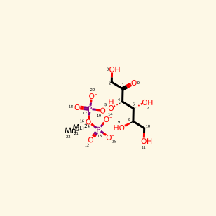 O=C(CO)[C@@H](O)[C@H](O)[C@H](O)CO.O=P([O-])([O-])OP(=O)([O-])[O-].[Mn+2].[Mn+2]